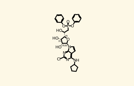 O=P(CC(O)[C@@H]1O[C@@H](n2ccc3c(NC4CCCC4)nc(Cl)nc32)[C@H](O)[C@@H]1O)(Oc1ccccc1)Oc1ccccc1